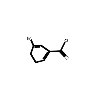 O=C(Cl)C1=CCCC(Br)=C1